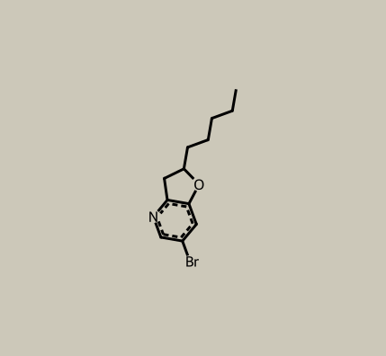 CCCCCC1Cc2ncc(Br)cc2O1